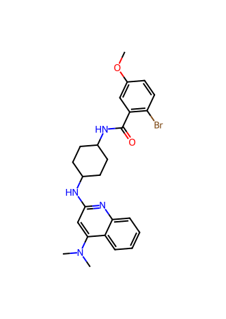 COc1ccc(Br)c(C(=O)NC2CCC(Nc3cc(N(C)C)c4ccccc4n3)CC2)c1